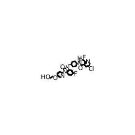 O=C(N[C@H]1CC[C@H](Cn2c(=O)n(-c3ccc(OCCO)cn3)c3ccc(F)cc32)CC1)c1cc(Cl)cnc1C(F)F